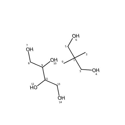 CC(C)(CO)CO.OCC(O)C(O)CO